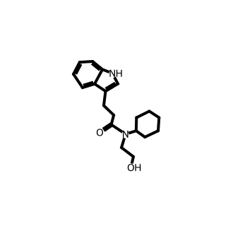 O=C(CCc1c[nH]c2ccccc12)N(CCO)C1CCCCC1